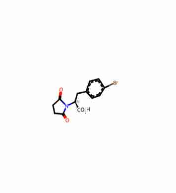 O=C(O)[C@H](Cc1ccc(Br)cc1)N1C(=O)CCC1=O